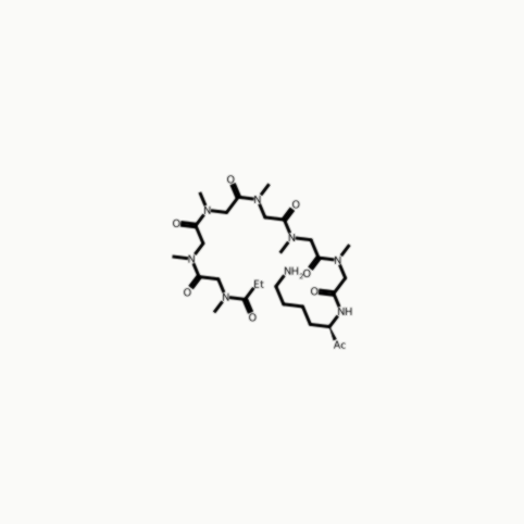 CCC(=O)N(C)CC(=O)N(C)CC(=O)N(C)CC(=O)N(C)CC(=O)N(C)CC(=O)N(C)CC(=O)N[C@H](CCCCN)C(C)=O